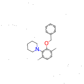 Cc1ccc(C)c(N2CCCCC2)c1OCc1ccccc1